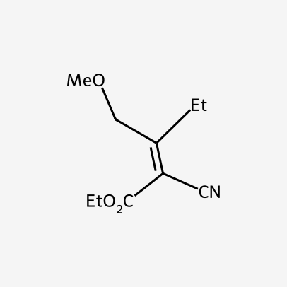 CCOC(=O)C(C#N)=C(CC)COC